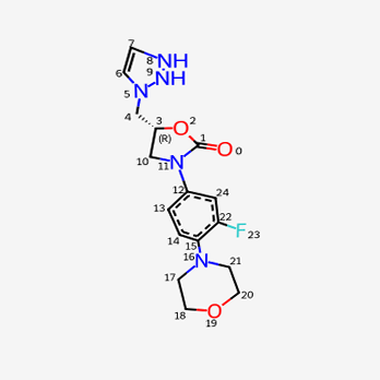 O=C1O[C@@H](CN2C=CNN2)CN1c1ccc(N2CCOCC2)c(F)c1